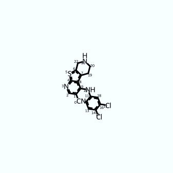 N#Cc1cnc2sc3c(c2c1Nc1ccc(Cl)c(Cl)c1)CCNC3